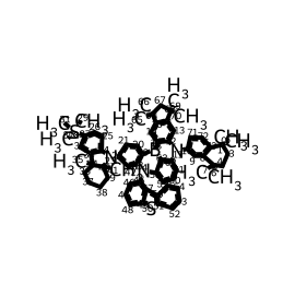 CC1(C)CCC(C)(C)c2cc(N3c4cc5c(cc4B4c6ccc(N7c8ccc(S(C)(C)C)cc8C8(C)CCCCC78C)cc6N(c6cccc7sc8ccccc8c67)c6cccc3c64)C(C)(C)CC5(C)C)ccc21